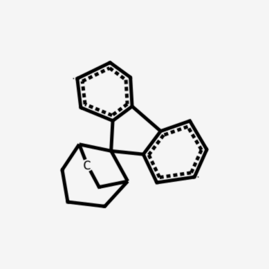 [c]1ccc2c(c1)C1(c3c[c]ccc3-2)C2CCCC1CC2